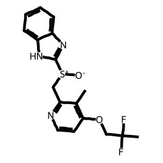 Cc1c(OCC(C)(F)F)ccnc1C[S+]([O-])c1nc2ccccc2[nH]1